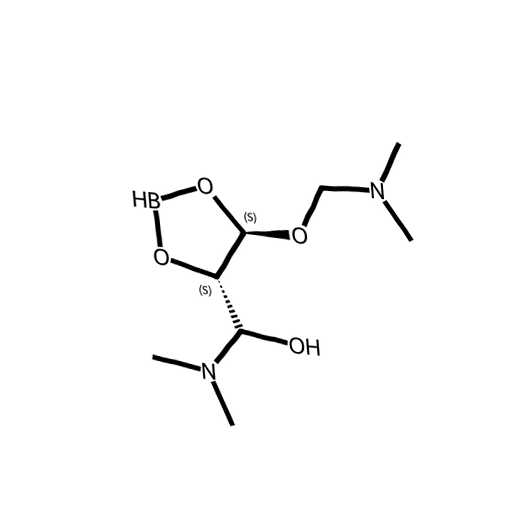 CN(C)CO[C@@H]1OBO[C@H]1C(O)N(C)C